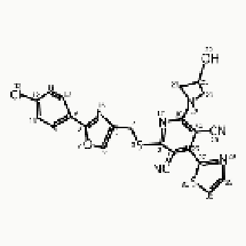 N#Cc1c(SCc2coc(-c3ccc(Cl)cc3)n2)nc(N2CC(O)C2)c(C#N)c1-c1nccs1